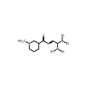 CCN(CC)C(C=NC(=S)C1CCCN(C(=O)O)C1)N(CC)CC